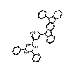 C1=Cc2c(n(-c3ccccc3)c3cc4c(cc23)c2ccccc2n4C2=CC(C3=NC(c4ccccc4)NC(c4ccccc4)N3)=CNC2)CC1